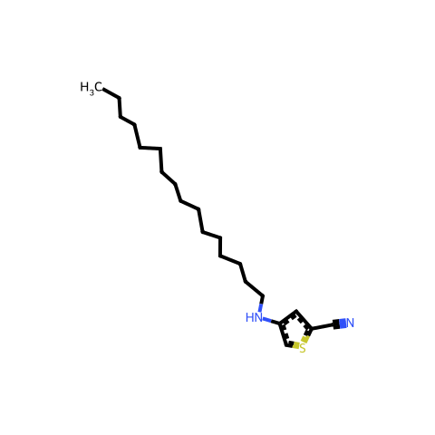 CCCCCCCCCCCCCCCCNc1csc(C#N)c1